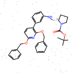 CC(C)(C)OC(=O)N1CCC[C@H]1CNc1cccc(-c2ccc(OCc3ccccc3)nc2OCc2ccccc2)c1